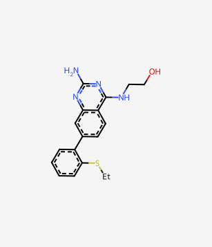 CCSc1ccccc1-c1ccc2c(NCCO)nc(N)nc2c1